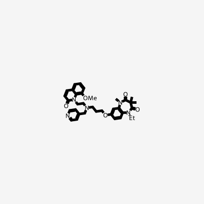 CCN1C(=O)C(C)(C)C(=O)N(C)c2cc(OCCCN(CCn3c(=O)ccc4cccc(OC)c43)Cc3ccncc3)ccc21